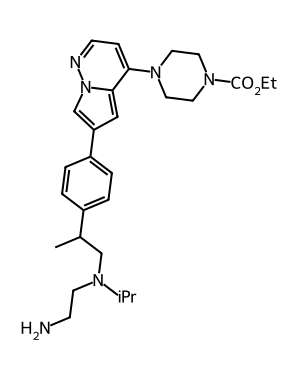 CCOC(=O)N1CCN(c2ccnn3cc(-c4ccc(C(C)CN(CCN)C(C)C)cc4)cc23)CC1